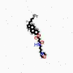 CC(C)CCC[C@@H](C)C1CC[C@H]2C3CC=C4C[C@@H](OC(=O)CCC(=O)NCCCCN5CCOCC5)CC[C@]4(C)C3CC[C@]12C